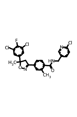 Cc1cc(C2=NOC(C)(c3cc(Cl)c(F)c(Cl)c3)C2)ccc1C(=O)NCc1ccc(Cl)nc1